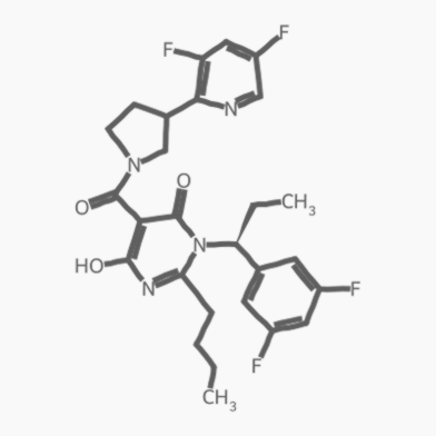 CCCCc1nc(O)c(C(=O)N2CCC(c3ncc(F)cc3F)C2)c(=O)n1[C@@H](CC)c1cc(F)cc(F)c1